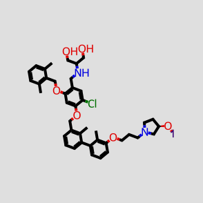 Cc1cccc(C)c1COc1cc(OCc2cccc(-c3cccc(OCCCN4CC[C@@H](OI)C4)c3C)c2C)c(Cl)cc1CNC(CO)CO